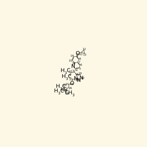 CC(C)C(c1ccc2cc(OC3CC3)ccc2n1)c1cnnn1COCC[Si](C)(C)C